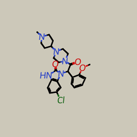 COc1ccccc1C(C(=O)N1CCN(C2CCN(C)CC2)CC1)n1c(=O)[nH]c2ccc(Cl)cc21